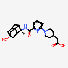 O=C(O)CC1CCN(c2cccc(C(=O)N[C@H]3C4CC5CC3C[C@](O)(C5)C4)n2)CC1